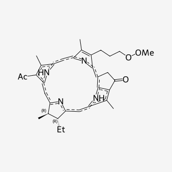 CC[C@H]1c2cc3[nH]c4c(c5nc(cc6[nH]c(cc(n2)[C@@H]1C)c(C(C)=O)c6C)C(C)=C5CCCOOC)CC(=O)c4c3C